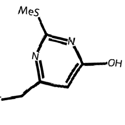 CSc1nc(O)cc(CF)n1